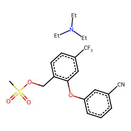 CCN(CC)CC.CS(=O)(=O)OCc1ccc(C(F)(F)F)cc1Oc1cccc(C#N)c1